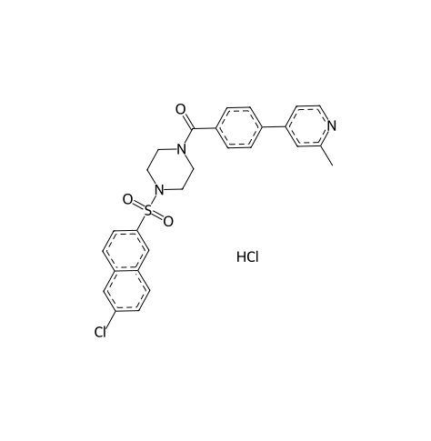 Cc1cc(-c2ccc(C(=O)N3CCN(S(=O)(=O)c4ccc5cc(Cl)ccc5c4)CC3)cc2)ccn1.Cl